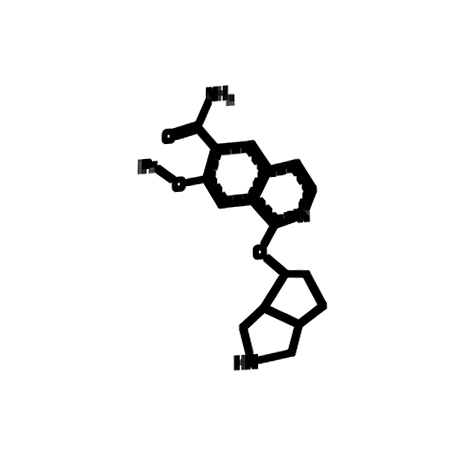 CC(C)Oc1cc2c(OC3CCC4CNCC43)nccc2cc1C(N)=O